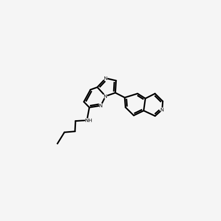 CCCCNc1ccc2ncc(-c3ccc4cnccc4c3)n2n1